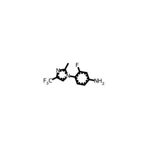 Cc1nc(C(F)(F)F)cn1-c1ccc(N)cc1F